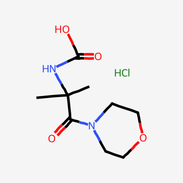 CC(C)(NC(=O)O)C(=O)N1CCOCC1.Cl